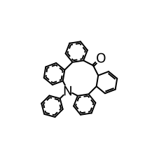 O=C1c2ccccc2-c2ccccc2N(c2ccccc2)c2ccccc2C2C=CC=CC12